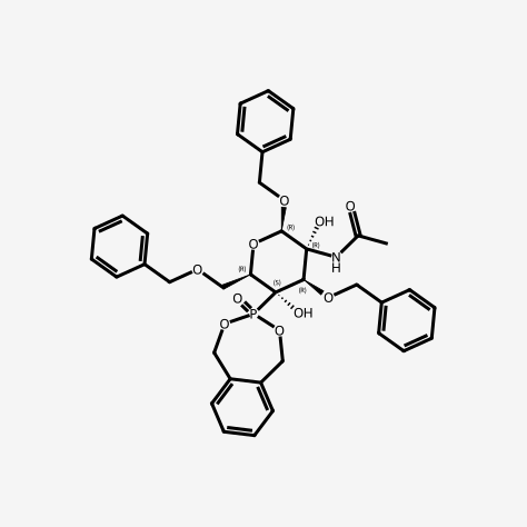 CC(=O)N[C@]1(O)[C@H](OCc2ccccc2)O[C@H](COCc2ccccc2)[C@](O)(P2(=O)OCc3ccccc3CO2)[C@@H]1OCc1ccccc1